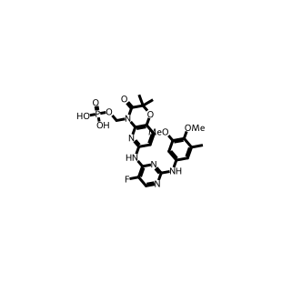 COc1cc(Nc2ncc(F)c(Nc3ccc4c(n3)N(COP(=O)(O)O)C(=O)C(C)(C)O4)n2)cc(C)c1OC